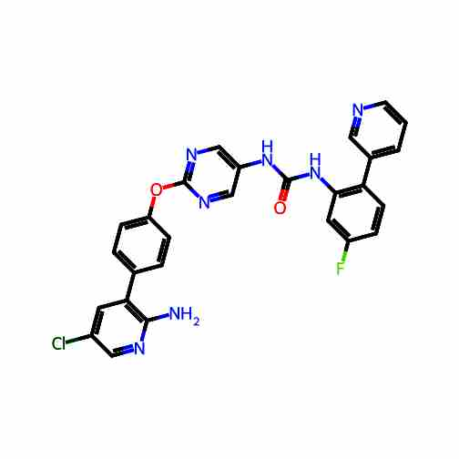 Nc1ncc(Cl)cc1-c1ccc(Oc2ncc(NC(=O)Nc3cc(F)ccc3-c3cccnc3)cn2)cc1